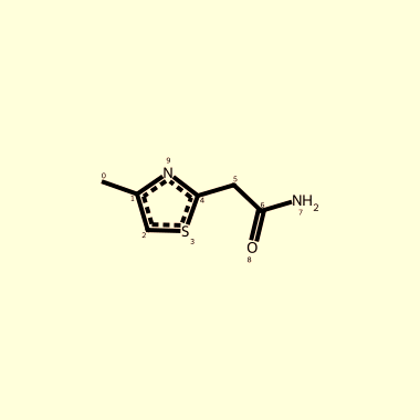 Cc1csc(CC(N)=O)n1